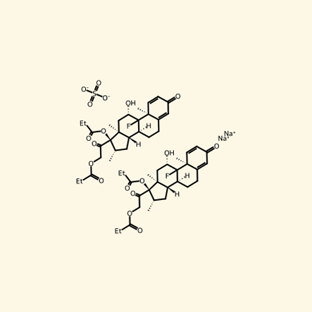 CCC(=O)OCC(=O)[C@@]1(OC(=O)CC)[C@@H](C)C[C@H]2[C@@H]3CCC4=CC(=O)C=C[C@]4(C)C3(F)[C@@H](O)C[C@@]21C.CCC(=O)OCC(=O)[C@@]1(OC(=O)CC)[C@@H](C)C[C@H]2[C@@H]3CCC4=CC(=O)C=C[C@]4(C)C3(F)[C@@H](O)C[C@@]21C.O=S(=O)([O-])[O-].[Na+].[Na+]